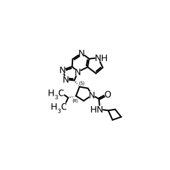 CC(C)[C@H]1CN(C(=O)NC2CCC2)C[C@H]1c1nnc2cnc3[nH]ccc3n12